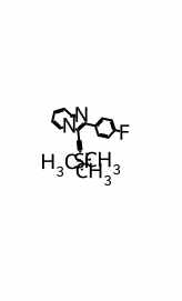 C[Si](C)(C)C#Cc1c(-c2ccc(F)cc2)nc2ccccn12